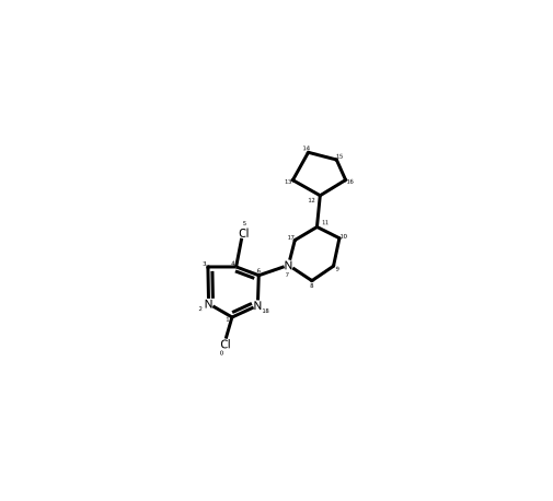 Clc1ncc(Cl)c(N2CCCC(C3CCCC3)C2)n1